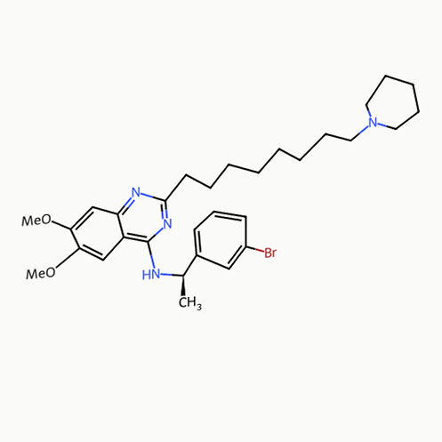 COc1cc2nc(CCCCCCCCN3CCCCC3)nc(N[C@H](C)c3cccc(Br)c3)c2cc1OC